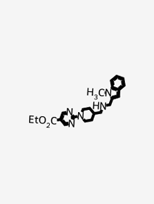 CCOC(=O)c1cnc(N2CCC(CNCc3cc4ccccc4n3C)CC2)nc1